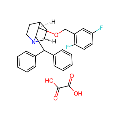 Fc1ccc(F)c(CO[C@@H]2C3CCN(CC3)[C@@H]2C(c2ccccc2)c2ccccc2)c1.O=C(O)C(=O)O